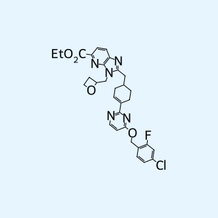 CCOC(=O)c1ccc2nc(CC3CC=C(c4nccc(OCc5ccc(Cl)cc5F)n4)CC3)n(CC3CCO3)c2n1